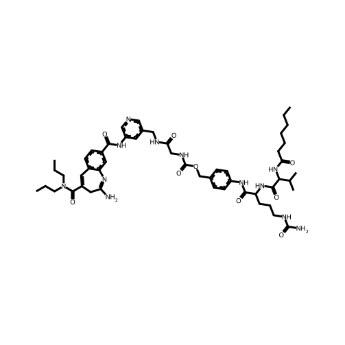 CCCCCCC(=O)NC(C(=O)NC(CCCNC(N)=O)C(=O)Nc1ccc(COC(=O)NCC(=O)NCc2cncc(NC(=O)c3ccc4c(c3)N=C(N)CC(C(=O)N(CCC)CCC)=C4)c2)cc1)C(C)C